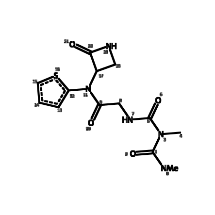 CNC(=O)N(C)C(=O)NCC(=O)N(c1cccs1)C1CNC1=O